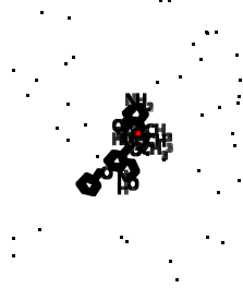 CC(C)(C)[Si](C)(C)O[C@H](CN(CCc1ccc(N)cc1)C(=O)O)c1ccc(OCc2ccccc2)c2[nH]c(=O)ccc12